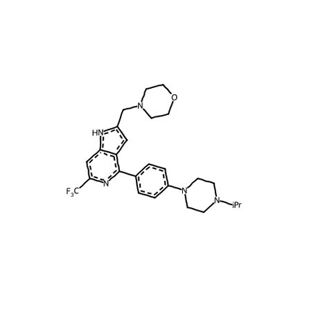 CC(C)N1CCN(c2ccc(-c3nc(C(F)(F)F)cc4[nH]c(CN5CCOCC5)cc34)cc2)CC1